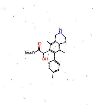 COC(=O)C(O)c1c(C)c2c(c(C)c1-c1ccc(C)cc1)CCNC2